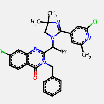 Cc1cc(C2=NC(C)(C)CN2C(c2nc3cc(Cl)ccc3c(=O)n2Cc2ccccc2)C(C)C)cc(Cl)n1